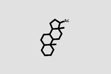 CC(=O)C1CCC2C3CCC4CCCCC4(C)C3CCC12C